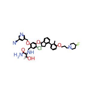 Cc1c(OCCCN2CCC(F)CC2)cccc1-c1cccc2c1CC[C@@H]2Oc1cc(OCc2cncc(C#N)c2)c(CN[C@H](C(N)=O)[C@@H](C)O)cc1Cl